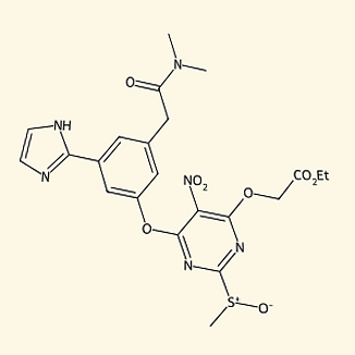 CCOC(=O)COc1nc([S+](C)[O-])nc(Oc2cc(CC(=O)N(C)C)cc(-c3ncc[nH]3)c2)c1[N+](=O)[O-]